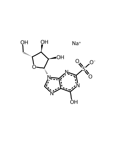 O=S(=O)([O-])c1nc(O)c2ncn([C@@H]3O[C@H](CO)[C@@H](O)[C@H]3O)c2n1.[Na+]